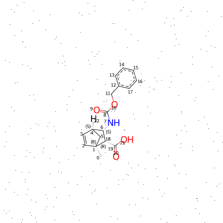 C[C@]12C=C[C@H](C1)[C@H](NC(=O)OCc1ccccc1)[C@@H]2C(=O)O